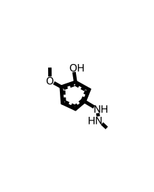 CNNc1ccc(OC)c(O)c1